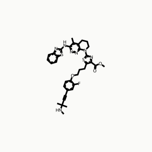 CNC(C)(C)C#Cc1ccc(OCCCc2sc(N3CCCc4c3nnc(Nc3nc5ccccc5s3)c4C)nc2C(=O)OC)c(F)c1